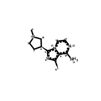 CN1CC[C@H](c2nc(I)c3c(N)nccn23)C1